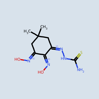 CC1(C)CC(=N/NC(N)=S)/C(=N/O)C(=N/O)/C1